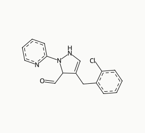 O=CC1C(Cc2ccccc2Cl)=CNN1c1ccccn1